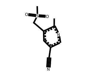 Cc1ncc(C#N)cc1CS(C)(=O)=O